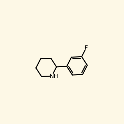 Fc1cccc(C2CCCCN2)c1